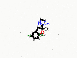 CCC1(C2=NCCN2)Cc2cc(F)ccc2O1.Cl